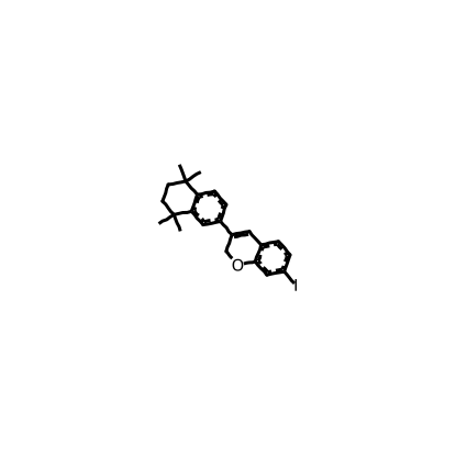 CC1(C)CCC(C)(C)c2cc(C3=Cc4ccc(I)cc4OC3)ccc21